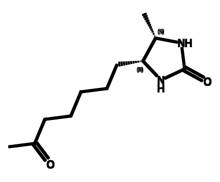 CC(=O)CCCCC[C@H]1NC(=O)N[C@H]1C